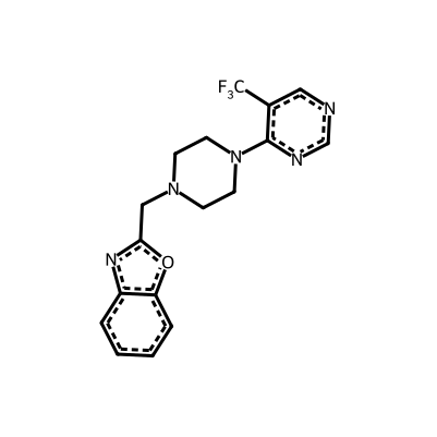 FC(F)(F)c1cncnc1N1CCN(Cc2nc3ccccc3o2)CC1